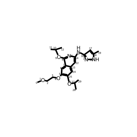 COCCOc1cc2c(OC(C)C)nc(Nc3cc(C)[nH]n3)cc2cc1OC(C)C